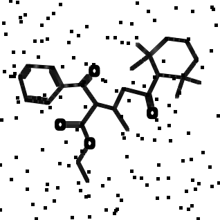 CCOC(=O)C(C(=O)c1ccccc1)C(C)CC(=O)C1C(C)(C)CCCC1(C)C